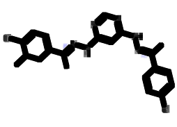 C/C(=N\Nc1cc(N/N=C(\C)c2ccc(Cl)cc2)ncn1)C1=CC=C(Cl)C(C)C1